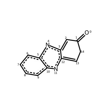 O=C1C=c2nc3ccccc3nc2=CC1